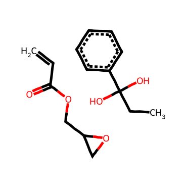 C=CC(=O)OCC1CO1.CCC(O)(O)c1ccccc1